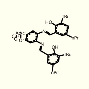 CC(=O)[O-].CC(=O)[O-].CCCc1cc(C=Nc2ccccc2N=Cc2cc(CCC)cc(C(C)(C)C)c2O)c(O)c(C(C)(C)C)c1.[Co+2]